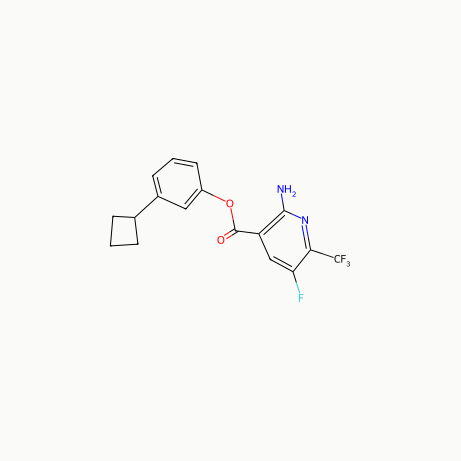 Nc1nc(C(F)(F)F)c(F)cc1C(=O)Oc1cccc(C2CCC2)c1